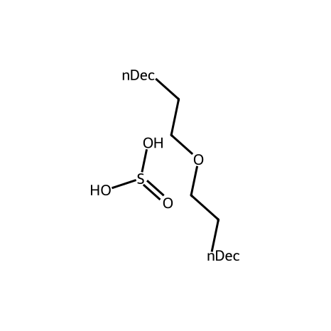 CCCCCCCCCCCCOCCCCCCCCCCCC.O=S(O)O